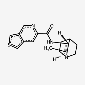 C[C@H]1[C@H](NC(=O)c2cc3cscc3cn2)C2CCN1CC2